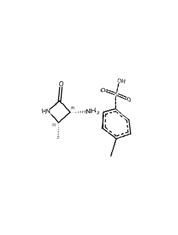 C[C@@H]1NC(=O)[C@@H]1N.Cc1ccc(S(=O)(=O)O)cc1